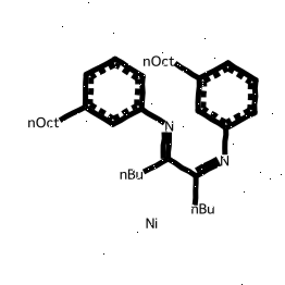 CCCCCCCCc1cccc(N=C(CCCC)C(CCCC)=Nc2cccc(CCCCCCCC)c2)c1.[Ni]